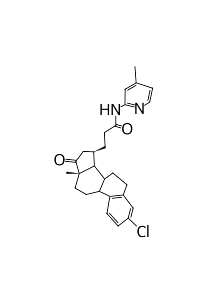 Cc1ccnc(NC(=O)CC[C@@H]2CC(=O)[C@@]3(C)CCC4c5ccc(Cl)cc5CCC4C23)c1